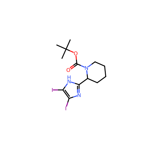 CC(C)(C)OC(=O)N1CCCCC1c1nc(I)c(I)[nH]1